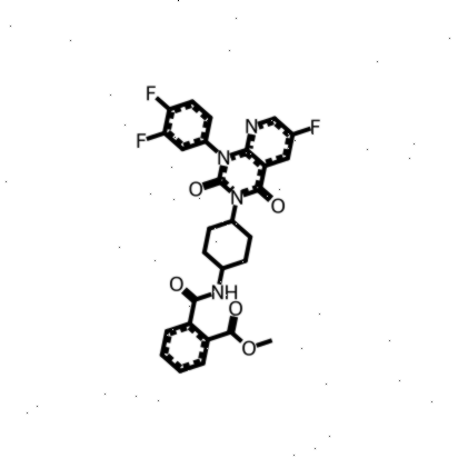 COC(=O)c1ccccc1C(=O)NC1CCC(n2c(=O)c3cc(F)cnc3n(-c3ccc(F)c(F)c3)c2=O)CC1